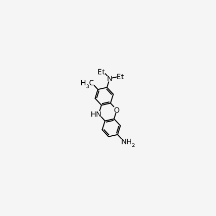 CCN(CC)c1cc2c(cc1C)Nc1ccc(N)cc1O2